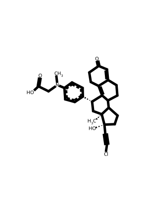 CN(CC(=O)O)c1ccc([C@H]2C[C@@]3(C)C(CC[C@@]3(O)C#CCl)C3CCC4=CC(=O)CCC4=C32)cc1